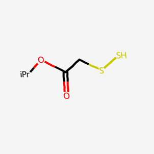 CC(C)OC(=O)CSS